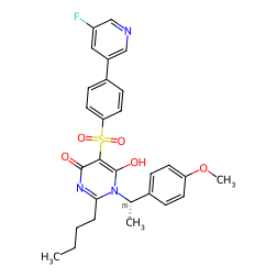 CCCCc1nc(=O)c(S(=O)(=O)c2ccc(-c3cncc(F)c3)cc2)c(O)n1[C@@H](C)c1ccc(OC)cc1